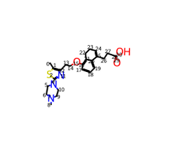 Cc1sc(N2CCN(C)CC2)nc1CCOc1cccc2c1CCC=C2CCC(=O)O